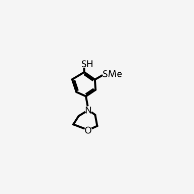 CSc1cc(N2CCOCC2)ccc1S